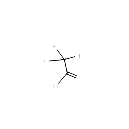 [2H]C(Cl)(Cl)C([NH])=O